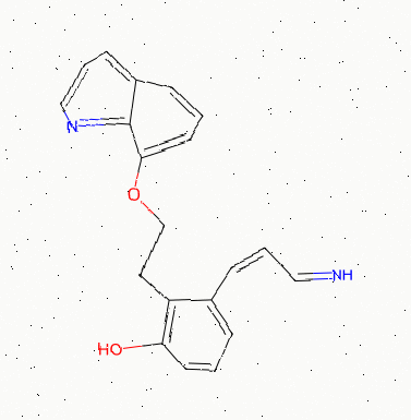 N=C/C=C\c1cccc(O)c1CCOc1cccc2cccnc12